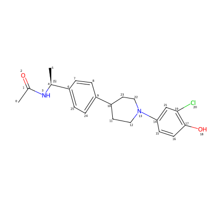 CC(=O)N[C@@H](C)c1ccc(C2CCN(c3ccc(O)c(Cl)c3)CC2)cc1